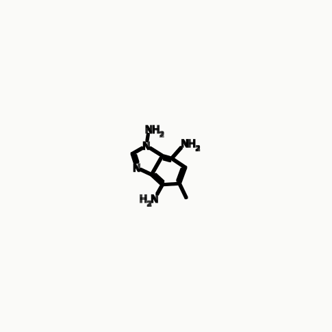 Cc1cc(N)c2c(ncn2N)c1N